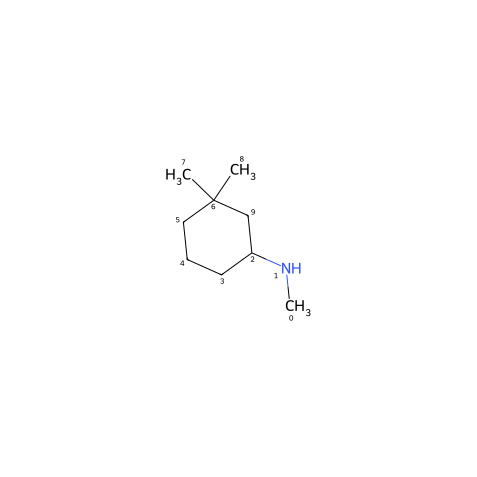 CNC1CCCC(C)(C)C1